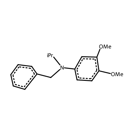 COc1ccc(N(Cc2ccccc2)C(C)C)cc1OC